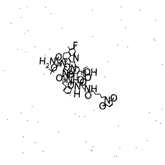 CC[C@@]1(O)C(=O)OCc2c1cc1n(c2=O)Cc2c-1nc1cc(F)c(C)c3c1c2[C@@H](N(C(=O)CNC(=O)[C@H](Cc1ccccc1)NC(=O)CNC(=O)CNC(=O)CCCCCN1C(=O)C=CC1=O)[C@@H](COC(C)(C)C)C(N)=O)CC3